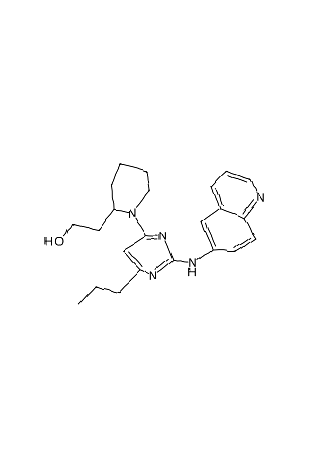 CCCc1cc(N2CCCCC2CCO)nc(Nc2ccc3ncccc3c2)n1